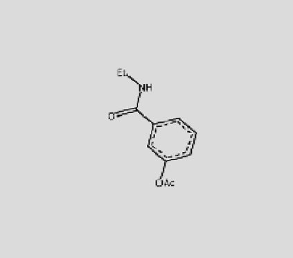 CCNC(=O)c1cccc(OC(C)=O)c1